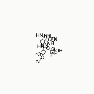 CCOc1cc(C(Nc2ccc(C(=N)N)cc2)C(=O)NNC(=O)c2ccncc2Cl)ccc1OCCN(C)C.O=C(O)C(F)(F)F